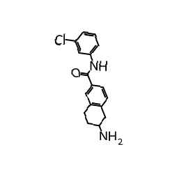 NC1CCc2cc(C(=O)Nc3cccc(Cl)c3)ccc2C1